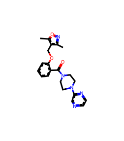 Cc1noc(C)c1COc1ccccc1C(=O)N1CCN(c2cnccn2)CC1